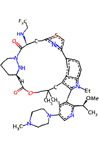 CCn1c(-c2cc(N3CCN(C)CC3)cnc2[C@H](C)OC)c2c3cc(ccc31)-c1csc(n1)C[C@H](NCC(F)(F)F)C(=O)N1CCC[C@H](N1)C(=O)OCC(C)(C)C2